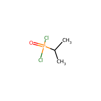 CC(C)P(=O)(Cl)Cl